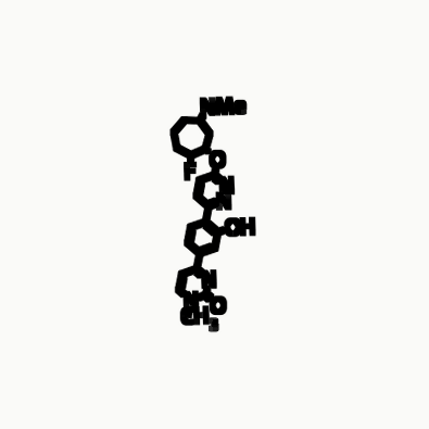 CNC1CCCC(F)[C@@H](Oc2ccc(-c3ccc(-c4ccn(C)c(=O)n4)cc3O)nn2)C1